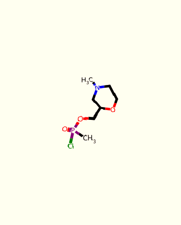 CN1CCOC(COP(C)(=O)Cl)C1